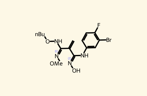 C=C(/C(=N/O)Nc1ccc(F)c(Br)c1)/C(=N\OC)NOCCCC